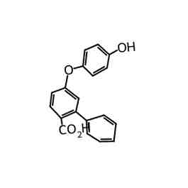 O=C(O)c1ccc(Oc2ccc(O)cc2)cc1-c1ccccc1